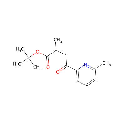 Cc1cccc(C(=O)CC(C)C(=O)OC(C)(C)C)n1